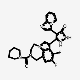 O=C(N1CCCCC1)N1CCn2cc(-c3[nH][nH]c(=O)c3-c3cnc4ccccn34)c3c(F)c(F)cc(c32)C1